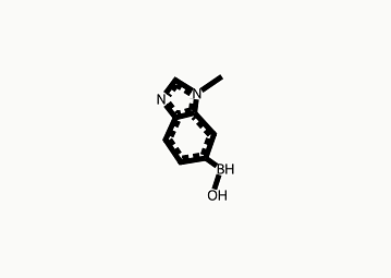 Cn1cnc2ccc(BO)cc21